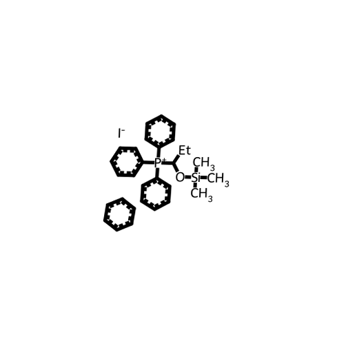 CCC(O[Si](C)(C)C)[P+](c1ccccc1)(c1ccccc1)c1ccccc1.[I-].c1ccccc1